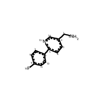 NCc1ccc(-c2ccc(F)cc2)nc1